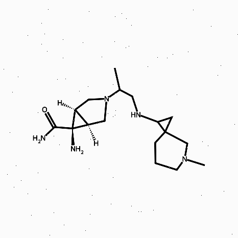 CC(CNC1CC12CCCN(C)C2)N1C[C@@H]2[C@H](C1)[C@@]2(N)C(N)=O